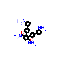 NC(=O)c1ccc(C(N)=O)c(-c2ccc(-c3cccc(N)c3)cc2)c1-c1ccc(-c2cccc(N)c2)cc1